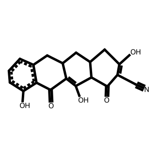 N#CC1=C(O)CC2CC3Cc4cccc(O)c4C(=O)C3=C(O)C2C1=O